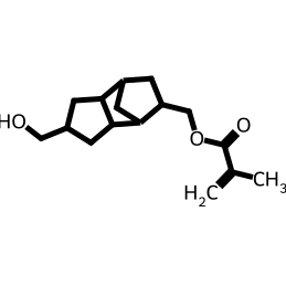 C=C(C)C(=O)OCC1CC2CC1C1CC(CO)CC21